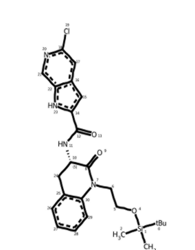 CC(C)(C)[Si](C)(C)OCCN1C(=O)[C@@H](NC(=O)c2cc3cc(Cl)ncc3[nH]2)Cc2ccccc21